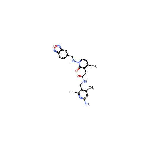 Cc1cc(N)nc(C)c1CNC(=O)Cc1c(C)ccn(NCc2ccc3nonc3c2)c1=O